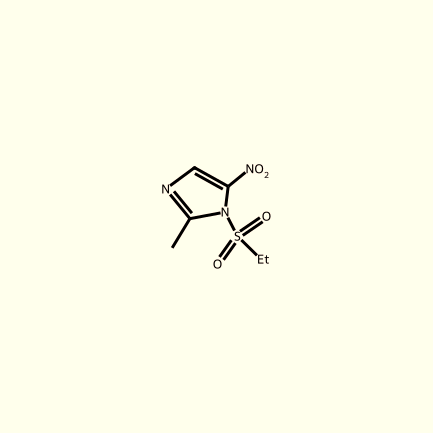 CCS(=O)(=O)n1c([N+](=O)[O-])cnc1C